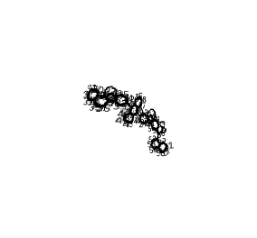 c1ccc2c(-c3csc4cc5oc6cc(-c7c8ccccc8c(-c8ccc9oc%10c%11ccccc%11ccc%10c9c8)c8ccccc78)ccc6c5cc34)cccc2c1